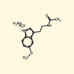 COc1ccc2[nH]cc(CCNC(C)=O)c2c1.O.[MgH2]